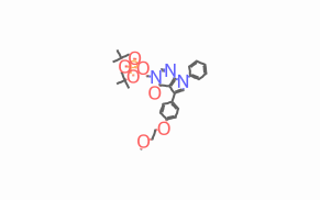 COCCOc1ccc(-c2cn(-c3ccccc3)c3ncn(COP(=O)(OC(C)(C)C)OC(C)(C)C)c(=O)c23)cc1